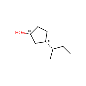 CCC(C)[C@H]1CC[C@@H](O)C1